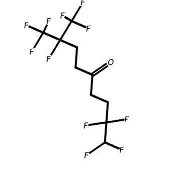 O=C(CCC(F)(F)C(F)F)CCC(F)(C(F)(F)F)C(F)(F)F